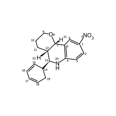 O=[N+]([O-])c1ccc2c(c1)[C@H]1OCCC[C@H]1[C@H](C1C=CC=CC1)N2